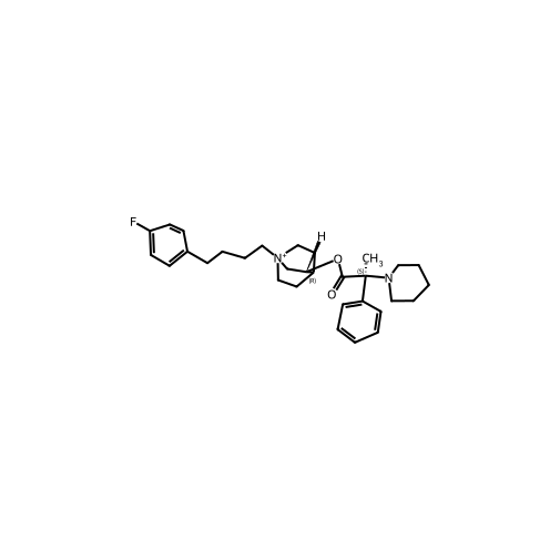 C[C@@](C(=O)O[C@H]1C[N+]2(CCCCc3ccc(F)cc3)CCC1CC2)(c1ccccc1)N1CCCCC1